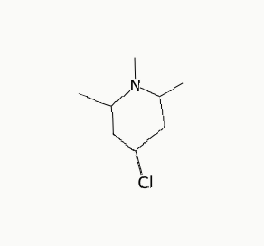 CC1CC(Cl)CC(C)N1C